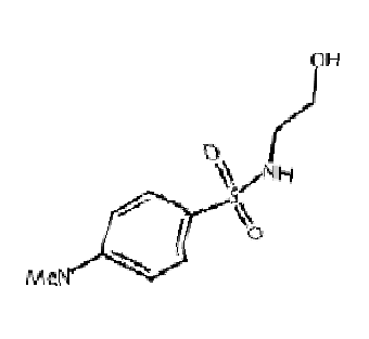 CNc1ccc(S(=O)(=O)NCCO)cc1